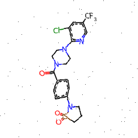 O=C(c1ccc(N2CCCS2(=O)=O)cc1)N1CCN(c2ncc(C(F)(F)F)cc2Cl)CC1